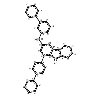 c1ccc(-c2ccc(-c3cc(Nc4cccc(-c5ccccc5)c4)cc4c3oc3ccccc34)cc2)cc1